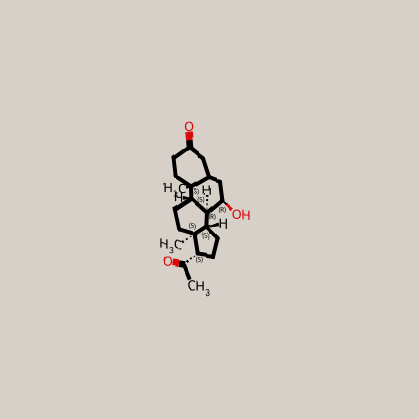 CC(=O)[C@H]1CC[C@H]2[C@@H]3[C@H](O)CC4CC(=O)CC[C@]4(C)[C@H]3CC[C@]12C